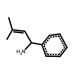 CC(C)=CC(N)c1ccccc1